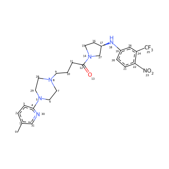 Cc1ccc(N2CCN(CCCC(=O)N3CC[C@@H](Nc4ccc([N+](=O)[O-])c(C(F)(F)F)c4)C3)CC2)nc1